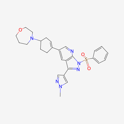 Cn1cc(-c2nn(S(=O)(=O)c3ccccc3)c3ncc(C4=CCC(N5CCCOCC5)CC4)cc23)cn1